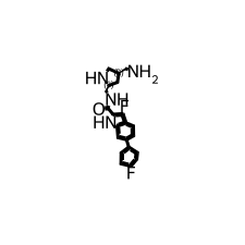 NC[C@@H]1CN[C@H](CNC(=O)c2[nH]c3cc(-c4ccc(F)cc4)ccc3c2F)C1